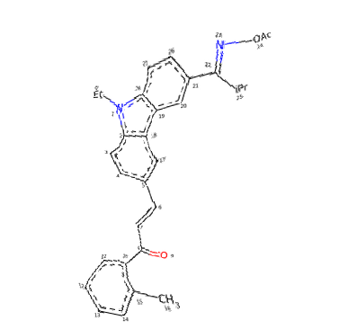 CCn1c2ccc(C=CC(=O)c3ccccc3C)cc2c2cc(C(=NOC(C)=O)C(C)C)ccc21